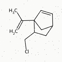 C=C(C)C12C=CC(CC1CCl)C2